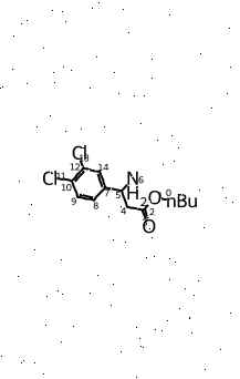 CCCCOC(=O)CC(N)c1ccc(Cl)c(Cl)c1